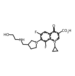 O=C(O)c1cn(C2CC2)c2c(F)c(N3CCC(CNCCO)C3)c(F)cc2c1=O